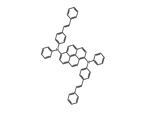 C(=Cc1ccc(N(c2ccccc2)c2ccc3ccc4c(N(c5ccccc5)c5ccc(C=Cc6ccccc6)cc5)ccc5ccc2c3c54)cc1)c1ccccc1